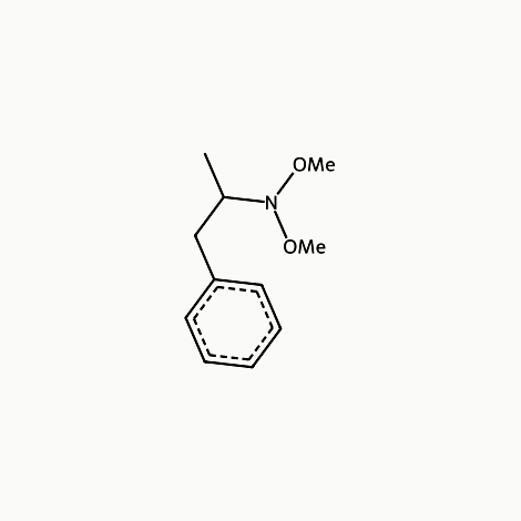 CON(OC)C(C)Cc1ccccc1